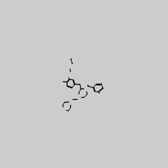 COCCOCOc1cc(CC2CN(CCN3C[C@@H](C)O[C@@H](C)C3)CCN2C(=O)c2cc(C(F)(F)F)cc(C(F)(F)F)c2)ccc1C